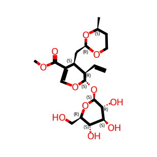 C=C[C@H]1[C@H](O[C@@H]2O[C@H](CO)[C@@H](O)[C@H](O)[C@H]2O)OC=C(C(=O)OC)[C@H]1C[C@@H]1OCC[C@H](C)O1